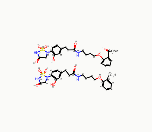 COC(=O)c1ccccc1OCCCCNC(=O)CCc1ccc(N2CC(=O)NS2(=O)=O)c(O)c1.O=C(CCc1ccc(N2CC(=O)NS2(=O)=O)c(O)c1)NCCCCOc1ccccc1C(=O)O